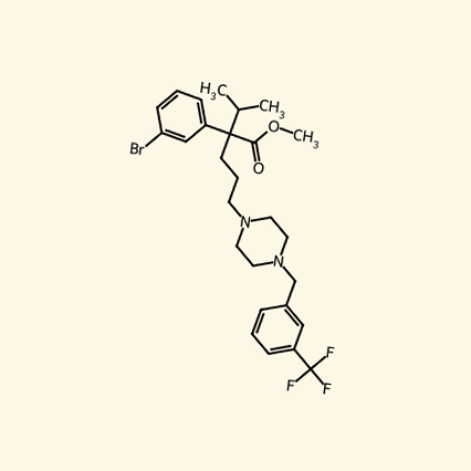 COC(=O)C(CCCN1CCN(Cc2cccc(C(F)(F)F)c2)CC1)(c1cccc(Br)c1)C(C)C